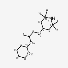 CC(COC1CC(C)(C)NC(C)(C)C1)OC1CCCCO1